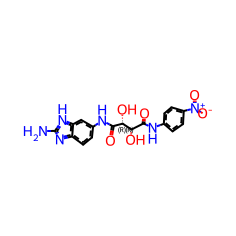 Nc1nc2ccc(NC(=O)[C@H](O)[C@@H](O)C(=O)Nc3ccc([N+](=O)[O-])cc3)cc2[nH]1